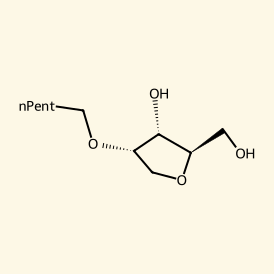 CCCCCCO[C@H]1CO[C@H](CO)[C@H]1O